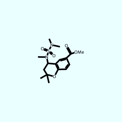 COC(=O)c1ccc2c(c1)C(N(C)S(=O)(=O)N(C)C)CC(C)(C)O2